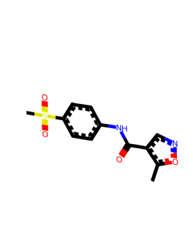 Cc1oncc1C(=O)Nc1ccc(S(C)(=O)=O)cc1